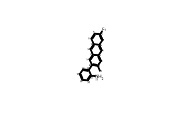 Cc1cc2cc3cc(F)ccc3cc2cc1-c1ccccc1N